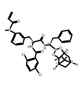 C=CC(=O)N(C)c1cccc(C[C@H](NC(=O)c2cc(Cl)ccc2Cl)C(=O)N[C@@H](Cc2ccccc2)B2O[C@@H]3C[C@@H]4C[C@@H](C4(C)C)[C@]3(C)O2)c1